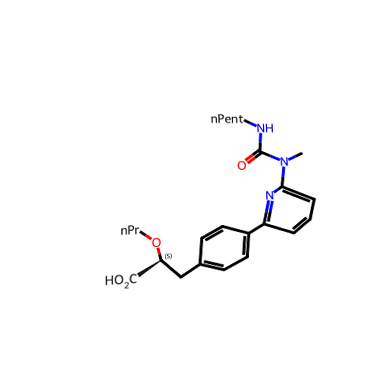 CCCCCNC(=O)N(C)c1cccc(-c2ccc(C[C@H](OCCC)C(=O)O)cc2)n1